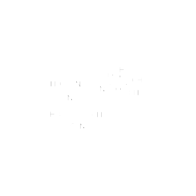 Cc1nc2c(c(-c3c(C)noc3C)n1)CCN(C(=O)OC(C)(C)C)C2